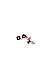 CCCOC1C(C(=O)OCc2cccc(Oc3ccccc3)c2)C1(C)C